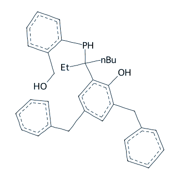 CCCCC(CC)(Pc1ccccc1CO)c1cc(Cc2ccccc2)cc(Cc2ccccc2)c1O